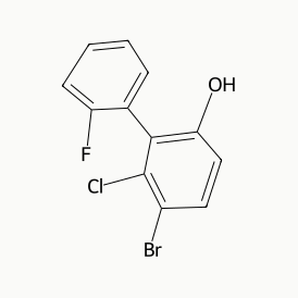 Oc1ccc(Br)c(Cl)c1-c1ccccc1F